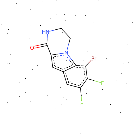 O=C1NCCn2c1cc1cc(F)c(F)c(Br)c12